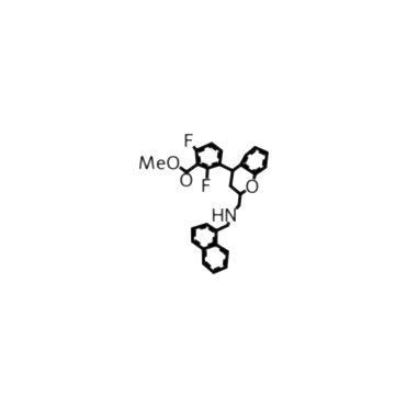 COC(=O)c1c(F)ccc(C2CC(CNCc3cccc4ccccc34)Oc3ccccc32)c1F